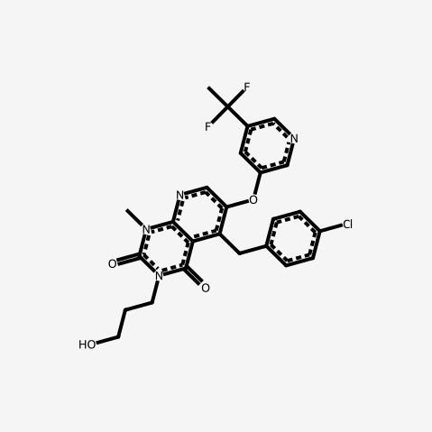 Cn1c(=O)n(CCCO)c(=O)c2c(Cc3ccc(Cl)cc3)c(Oc3cncc(C(C)(F)F)c3)cnc21